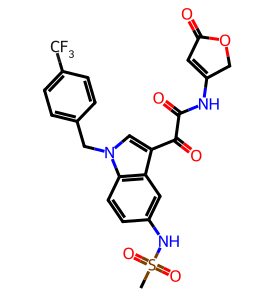 CS(=O)(=O)Nc1ccc2c(c1)c(C(=O)C(=O)NC1=CC(=O)OC1)cn2Cc1ccc(C(F)(F)F)cc1